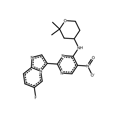 CC1(C)CC(Nc2nc(-c3cnc4ccc(F)cn34)ncc2[N+](=O)[O-])CCO1